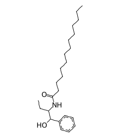 CCCCCCCCCCCCCC(=O)NC(CC)C(O)c1ccccc1